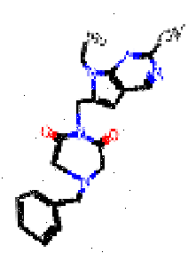 CC(C)(C)Cn1c(CN2C(=O)CN(Cc3ccccc3)CC2=O)cc2cnc(C#N)nc21